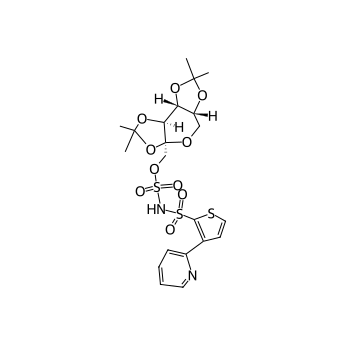 CC1(C)O[C@@H]2[C@@H](CO[C@@]3(COS(=O)(=O)NS(=O)(=O)c4sccc4-c4ccccn4)OC(C)(C)O[C@@H]23)O1